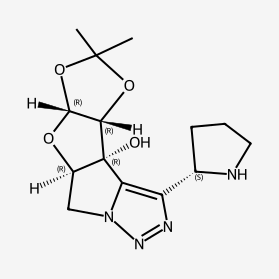 CC1(C)O[C@H]2O[C@@H]3Cn4nnc([C@@H]5CCCN5)c4[C@]3(O)[C@H]2O1